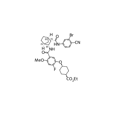 CCOC(=O)[C@H]1CC[C@@H](Oc2cc(C(=O)N[C@@H]3[C@H]4CC[C@H](C4)[C@@H]3C(=O)Nc3ccc(C#N)c(Br)c3)c(OC)cc2F)CC1